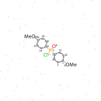 COc1ccc(P(=O)(Cl)c2ccc(OC)cc2)cc1